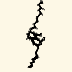 C=CCC/C=C/CCc1cc2ccc(OCCCCCCCCC)c(F)c2c(=O)o1